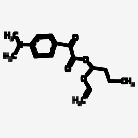 C=COC(CCC)OC(=O)C(=O)c1ccc(N(C)C)cc1